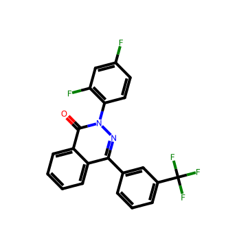 O=c1c2ccccc2c(-c2cccc(C(F)(F)F)c2)nn1-c1ccc(F)cc1F